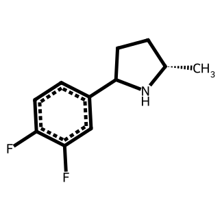 C[C@H]1CCC(c2ccc(F)c(F)c2)N1